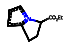 CCOC(=O)C1CCc2cccn21